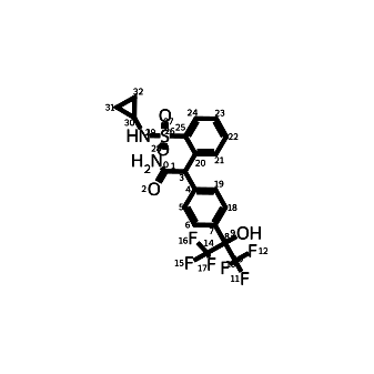 NC(=O)C(c1ccc(C(O)(C(F)(F)F)C(F)(F)F)cc1)c1ccccc1S(=O)(=O)NC1CC1